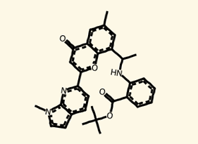 Cc1cc(C(C)Nc2ccccc2C(=O)OC(C)(C)C)c2oc(-c3ccc4ccn(C)c4n3)cc(=O)c2c1